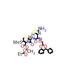 CCC(=O)OC(C)OC(=O)C1=C(SC)CS[C@@H]2C(NC(=O)/C(=N\OCC(=O)OC(c3ccccc3)c3ccccc3)c3csc(N)n3)C(=O)N12